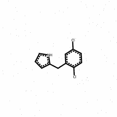 Clc1ccc(Cl)c(Cc2ccc[nH]2)c1